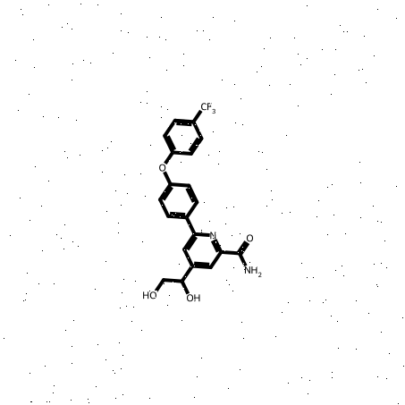 NC(=O)c1cc(C(O)CO)cc(-c2ccc(Oc3ccc(C(F)(F)F)cc3)cc2)n1